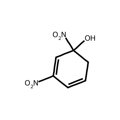 O=[N+]([O-])C1=CC(O)([N+](=O)[O-])CC=C1